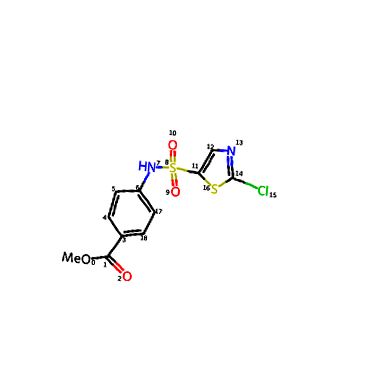 COC(=O)c1ccc(NS(=O)(=O)c2cnc(Cl)s2)cc1